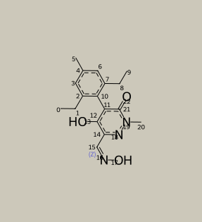 CCc1cc(C)cc(CC)c1-c1c(O)c(/C=N\O)nn(C)c1=O